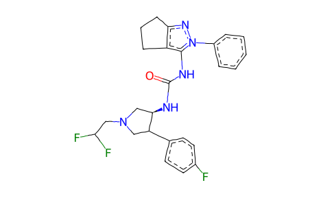 O=C(Nc1c2c(nn1-c1ccccc1)CCC2)N[C@@H]1CN(CC(F)F)CC1c1ccc(F)cc1